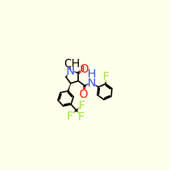 CN1C[C@H](c2cccc(C(F)(F)F)c2)C(C(=O)Nc2ccccc2F)C1=O